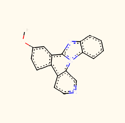 COc1ccc2c3ccncc3n3c4ccccc4nc3c2c1